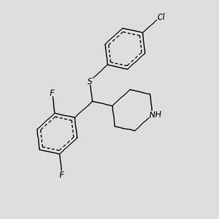 Fc1ccc(F)c(C(Sc2ccc(Cl)cc2)C2CCNCC2)c1